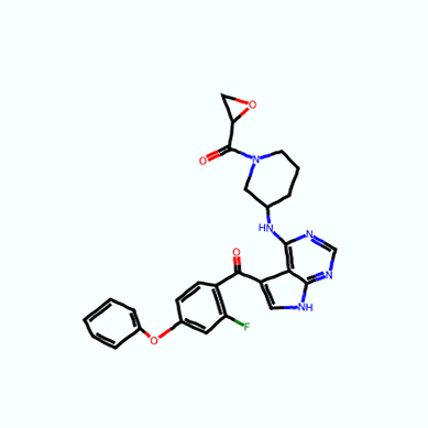 O=C(c1ccc(Oc2ccccc2)cc1F)c1c[nH]c2ncnc(NC3CCCN(C(=O)C4CO4)C3)c12